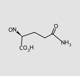 NC(=O)CC[C@H](N=O)C(=O)O